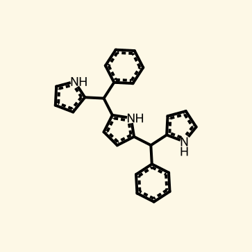 c1ccc(C(c2ccc[nH]2)c2ccc(C(c3ccccc3)c3ccc[nH]3)[nH]2)cc1